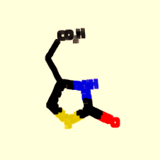 O=C(O)Cc1csc(=O)[nH]1